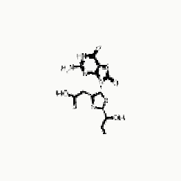 CCC(O)[C@@H]1O[C@@H](n2c(=O)sc3c(=O)[nH]c(N)nc32)[C@H](CC(=O)O)S1